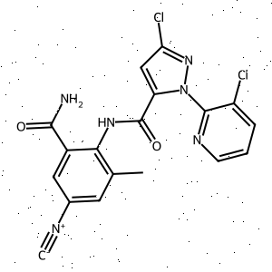 [C-]#[N+]c1cc(C)c(NC(=O)c2cc(Cl)nn2-c2ncccc2Cl)c(C(N)=O)c1